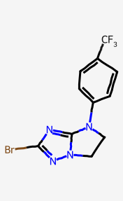 FC(F)(F)c1ccc(N2CCn3nc(Br)nc32)cc1